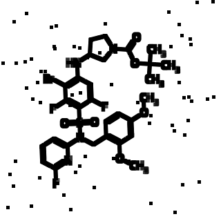 COc1ccc(CN(c2cccc(F)n2)S(=O)(=O)c2c(F)cc(NC3CCN(C(=O)OC(C)(C)C)C3)c(Br)c2F)c(OC)c1